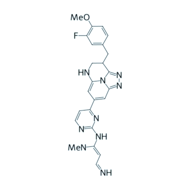 CN/C(=C\C=N)Nc1nccc(-c2cc3n4c(nnc4c2)C(Cc2ccc(OC)c(F)c2)CN3)n1